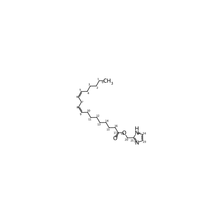 CCCCC/C=C\C/C=C\CCCCCCCC(=O)OCc1ncc[nH]1